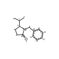 CC(C)C1CCC(=O)N1Cc1ccccc1